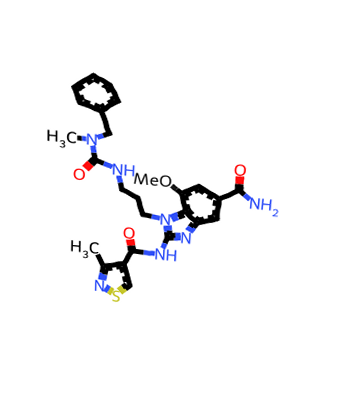 COc1cc(C(N)=O)cc2nc(NC(=O)c3csnc3C)n(CCCNC(=O)N(C)Cc3ccccc3)c12